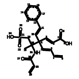 C=CC=CC(C=CC(=O)O)(C=Cc1ccccc1)C(C)(CS(=O)(=O)O)NC(=O)C=C